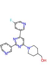 OCC1CCN(c2cc(-c3cncc(F)c3)nc(-c3cccnc3)n2)CC1